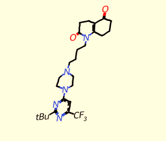 CC(C)(C)c1nc(N2CCN(CCCCN3C(=O)CCC4=C3CCCC4=O)CC2)cc(C(F)(F)F)n1